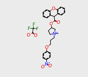 C[N+]1(CCCOc2ccc([N+](=O)[O-])cc2)CCC(OC(=O)C2c3ccccc3Oc3ccccc32)C1.O=C([O-])C(F)(F)F